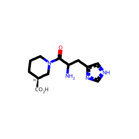 NC(Cc1c[nH]cn1)C(=O)N1CCC[C@H](C(=O)O)C1